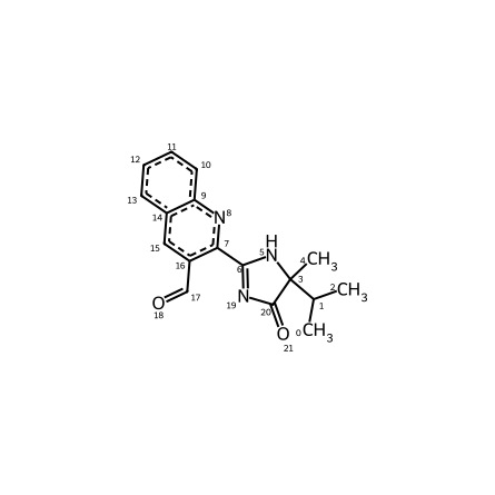 CC(C)C1(C)NC(c2nc3ccccc3cc2C=O)=NC1=O